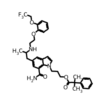 CC(Cc1cc(C(N)=O)c2c(ccn2CCCOC(=O)C(C)(C)c2ccccc2)c1)NCCOc1ccccc1OCC(F)(F)F